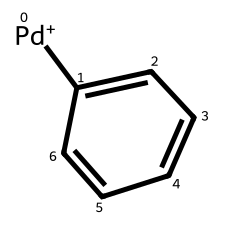 [Pd+][c]1ccccc1